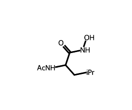 CC(=O)NC(CC(C)C)C(=O)NO